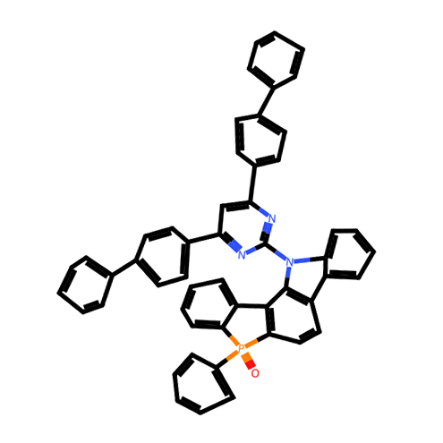 O=P1(c2ccccc2)c2ccccc2-c2c1ccc1c3ccccc3n(-c3nc(-c4ccc(-c5ccccc5)cc4)cc(-c4ccc(-c5ccccc5)cc4)n3)c21